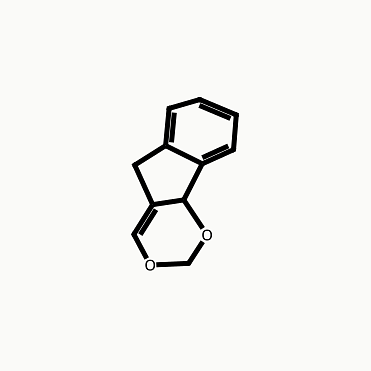 C1=C2Cc3ccccc3C2OCO1